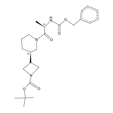 C[C@@H](NC(=O)OCc1ccccc1)C(=O)N1CCC[C@H](C2CN(C(=O)OC(C)(C)C)C2)C1